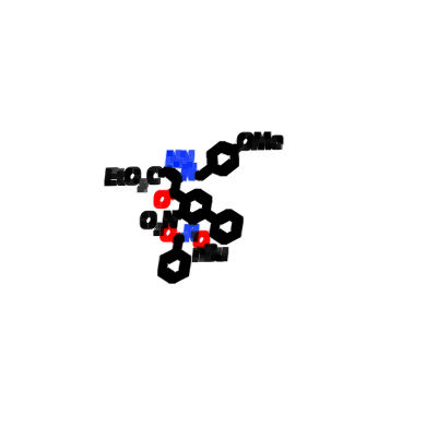 CCCCON(C(=O)c1ccccc1)c1c(-c2ccccc2)ccc(C(=O)c2c(C(=O)OCC)nnn2Cc2ccc(OC)cc2)c1[N+](=O)[O-]